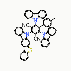 Cc1ccc(-c2c(-n3c4ccccc4c4ccccc43)c(C#N)c(-n3c4ccccc4c4cc5c(cc43)sc3ccccc35)c(C#N)c2-n2c3ccccc3c3ccccc32)cc1